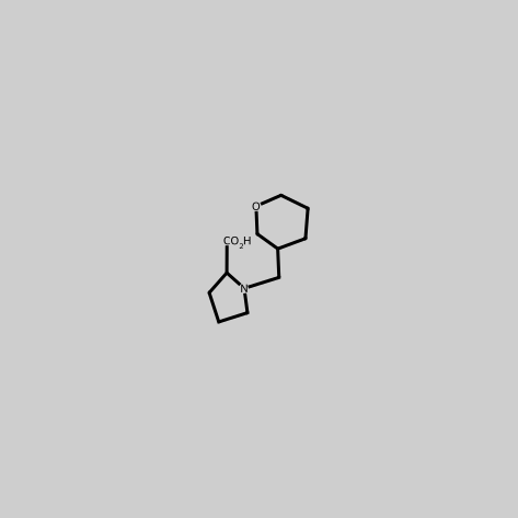 O=C(O)C1CCCN1CC1CCCOC1